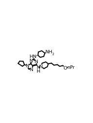 CCCOCCCCCC1CCN(Nc2nc(N[C@H]3CC[C@H](N)CC3)nc3c2ncn3C2CCCC2)CC1